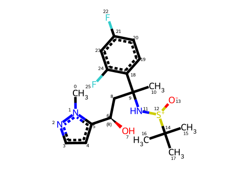 Cn1nccc1[C@H](O)CC(C)(N[S+]([O-])C(C)(C)C)c1ccc(F)cc1F